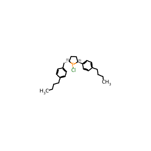 CCCCc1ccc(C[C@@H]2CC[C@@H](c3ccc(CCCC)cc3)P2Cl)cc1